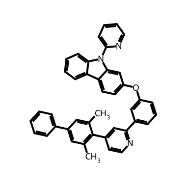 Cc1cc(-c2ccccc2)cc(C)c1-c1ccnc(-c2cccc(Oc3ccc4c5ccccc5n(-c5ccccn5)c4c3)c2)c1